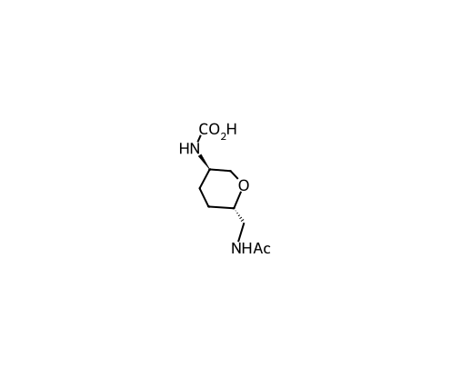 CC(=O)NC[C@@H]1CC[C@@H](NC(=O)O)CO1